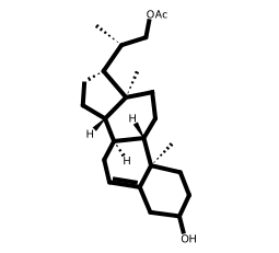 CC(=O)OC[C@@H](C)[C@H]1CC[C@H]2[C@@H]3CC=C4CC(O)CC[C@]4(C)[C@H]3CC[C@]12C